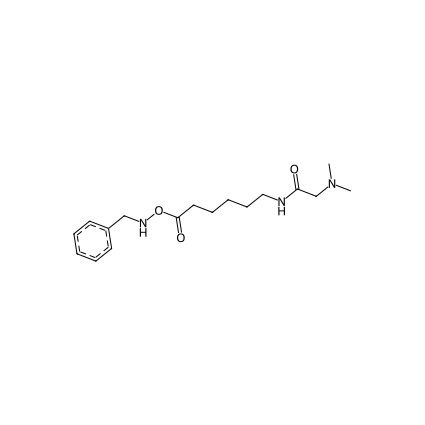 CN(C)CC(=O)NCCCCCC(=O)ONCc1ccccc1